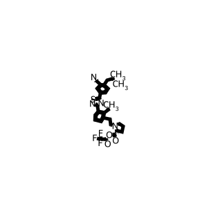 CCc1c(CCN2CCC[C@H]2C(=O)OC(=O)C(F)(F)F)cccc1-c1nsc(-c2ccc(CC(C)C)c(C#N)c2)n1